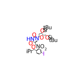 CC(C)[C@@H](OCc1cn([C@H]2C[C@H](O[Si](C)(C)C(C)(C)C)[C@@H](CO[Si](C)(C)C(C)(C)C)O2)c(=O)[nH]c1=O)c1ccc(I)cc1[N+](=O)[O-]